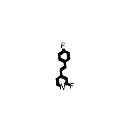 Fc1ccc(C=Cc2ccnc(F)c2)cc1